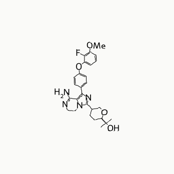 COc1cccc(Oc2ccc(-c3nc(C4CCC(C(C)(C)O)OC4)n4c3C(N)=NCC4)cc2)c1F